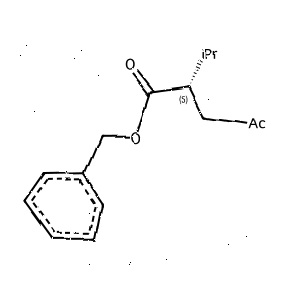 CC(=O)C[C@H](C(=O)OCc1ccccc1)C(C)C